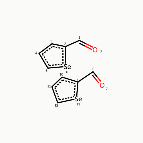 O=Cc1ccc[se]1.O=Cc1ccc[se]1